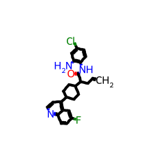 C=CCC(C(=O)Nc1ccc(Cl)cc1N)C1CCC(c2ccnc3ccc(F)cc23)CC1